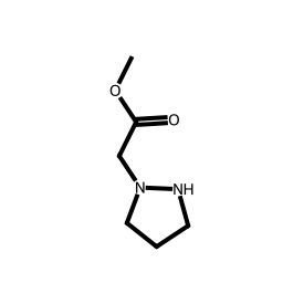 COC(=O)CN1CCCN1